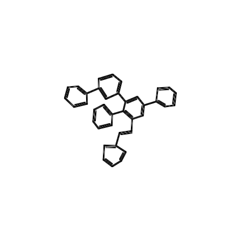 C(=Cc1cc(-c2ccccc2)cc(-c2cccc(-c3ccccc3)c2)c1-c1ccccc1)c1ccccc1